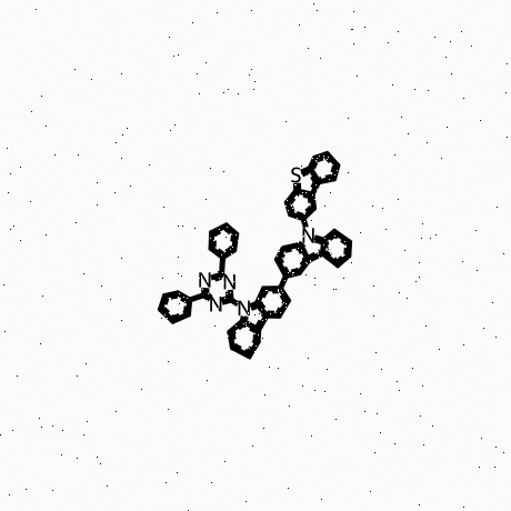 c1ccc(-c2nc(-c3ccccc3)nc(-n3c4ccccc4c4ccc(-c5ccc6c(c5)c5ccccc5n6-c5ccc6sc7ccccc7c6c5)cc43)n2)cc1